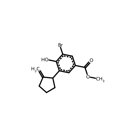 C=C1CCCC1c1cc(C(=O)OC)cc(Br)c1O